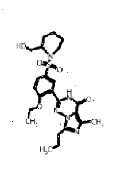 CCCc1nc(C)c2c(=O)[nH]c(-c3cc(S(=O)(=O)N4CCCCC4CO)ccc3OCC)nn12